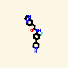 O=C(Cc1ccn2ccnc2c1)Nc1ccc(C2CCNCC2)cc1F